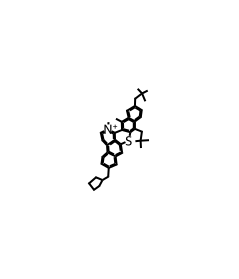 Cc1c2c(c(CC(C)(C)C)c3ccc(CC(C)(C)C)cc13)Sc1cc3cc(CC4CCCC4)ccc3c3cc[n+](C)c-2c13